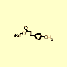 CCC(C)COC(=O)CCc1ccc(C)cc1